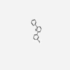 Ic1cccc(-c2cccc(-c3ccccc3)n2)c1